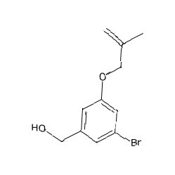 C=C(C)COc1cc(Br)cc(CO)c1